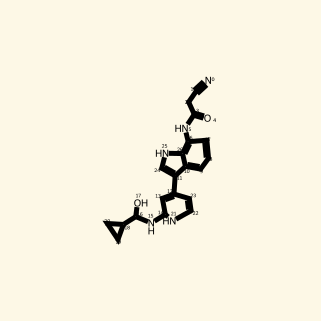 N#CCC(=O)Nc1cccc2c(C3=CC(NC(O)C4CC4)NC=C3)c[nH]c12